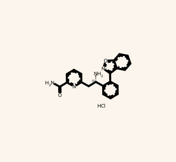 Cl.NC(=O)c1cccc(C[C@H](N)c2ccccc2-c2noc3ccccc23)n1